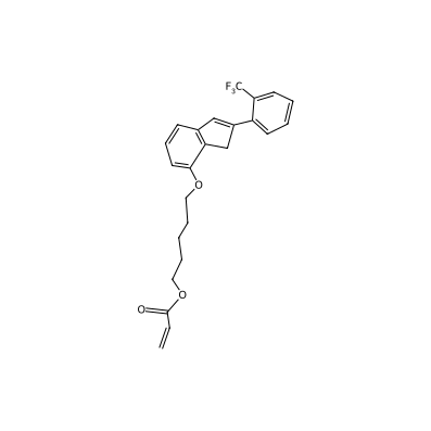 C=CC(=O)OCCCCCOc1cccc2c1CC(c1ccccc1C(F)(F)F)=C2